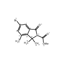 COC(=O)N1C(=O)c2cc(Br)cc(C)c2C1(C)C